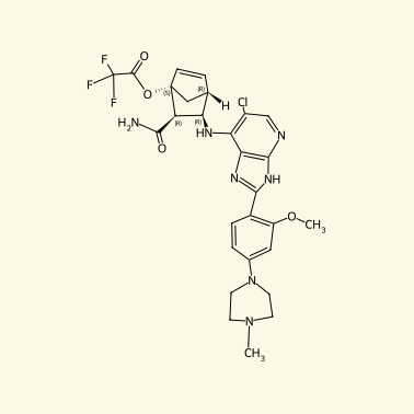 COc1cc(N2CCN(C)CC2)ccc1-c1nc2c(N[C@H]3[C@@H](C(N)=O)[C@@]4(OC(=O)C(F)(F)F)C=C[C@H]3C4)c(Cl)cnc2[nH]1